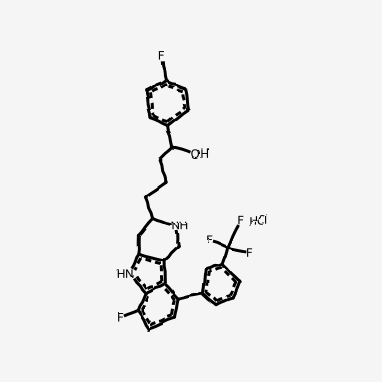 Cl.OC(CCCC1Cc2[nH]c3c(F)ccc(-c4cccc(C(F)(F)F)c4)c3c2CN1)c1ccc(F)cc1